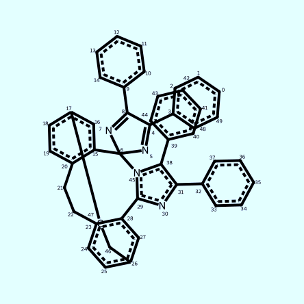 c1ccc(C2=NC3(N=C2c2ccccc2)c2cc4ccc2CCc2ccc(cc2-c2nc(-c5ccccc5)c(-c5ccccc5)n23)CC4)cc1